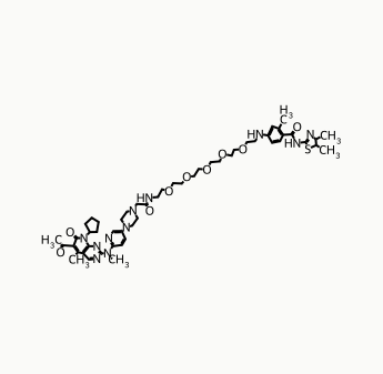 CC(=O)c1c(C)c2cnc(N(C)c3ccc(N4CCN(CC(=O)NCCOCCOCCOCCOCCOCCNc5ccc(C(=O)NC6=NC(C)C(C)S6)c(C)c5)CC4)cn3)nc2n(C2CCCC2)c1=O